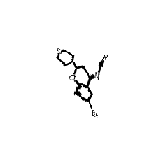 N#CN=C1CC(C2CCOCC2)Oc2ccc(Br)cc21